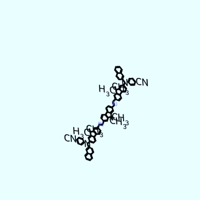 [C-]#[N+]c1ccc(N(c2ccc3c(c2)C(C)(C)c2cc(/C=C/c4ccc5c(c4)C(C)(C)c4cc(/C=C/c6ccc7c(c6)C(C)(C)c6cc(N(c8ccc(C#N)cc8)c8ccc9ccccc9c8)ccc6-7)ccc4-5)ccc2-3)c2ccc3ccccc3c2)cc1